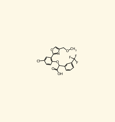 COCc1coc(-c2cc(Cl)ccc2OC(C(=O)O)c2cccc(C(F)(F)F)c2)n1